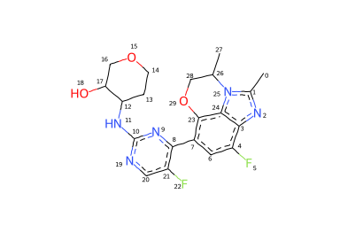 Cc1nc2c(F)cc(-c3nc(NC4CCOCC4O)ncc3F)c3c2n1C(C)CO3